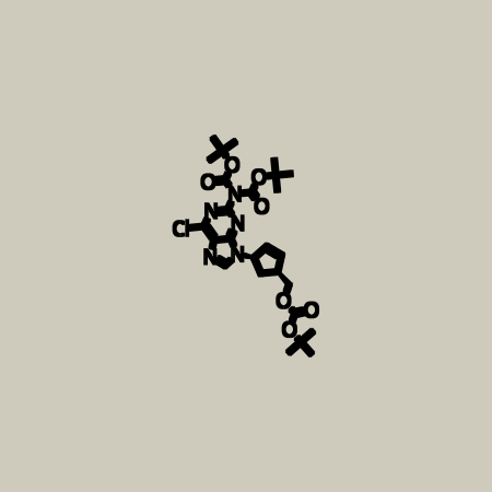 CC(C)(C)OC(=O)OC[C@@H]1C=C[C@H](n2cnc3c(Cl)nc(N(C(=O)OC(C)(C)C)C(=O)OC(C)(C)C)nc32)C1